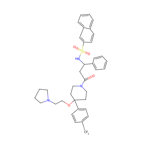 O=C(CC(NS(=O)(=O)c1ccc2ccccc2c1)c1ccccc1)N1CCC(OCCN2CCCC2)(c2ccc(C(F)(F)F)cc2)CC1